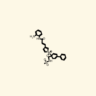 CS(=O)(=O)NCC1(S(=O)(=O)n2ccc(C=CC(=O)Nc3ccccc3N)c2)C=CC(c2ccccc2)=CC1